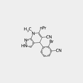 CCCC1=C(C#N)C(c2cccc(C#N)c2Br)c2c[nH]nc2N1C